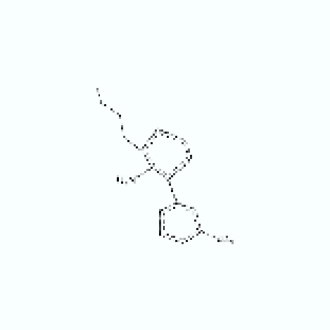 CCCCc1cccc(-c2cccc(N)c2)c1N